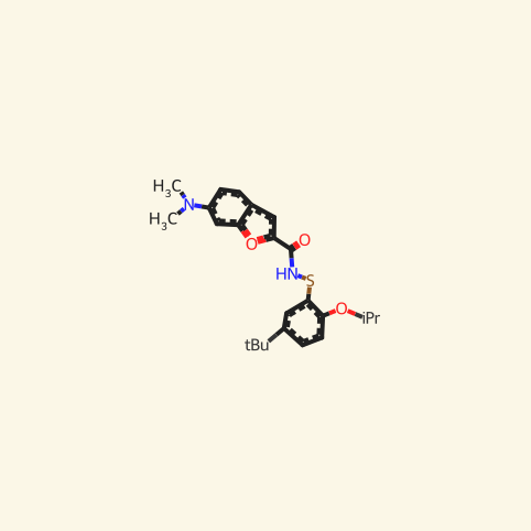 CC(C)Oc1ccc(C(C)(C)C)cc1SNC(=O)c1cc2ccc(N(C)C)cc2o1